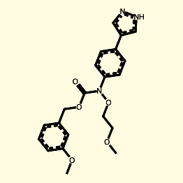 COCCON(C(=O)OCc1cccc(OC)c1)c1ccc(-c2cn[nH]c2)cc1